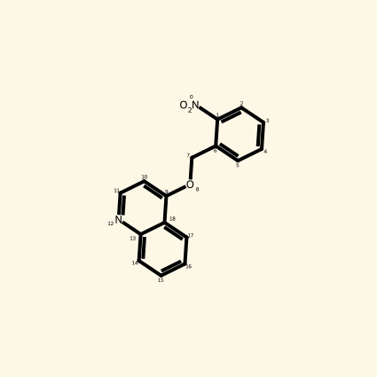 O=[N+]([O-])c1ccccc1COc1ccnc2ccccc12